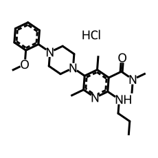 CCCNc1nc(C)c(N2CCN(c3ccccc3OC)CC2)c(C)c1C(=O)N(C)C.Cl